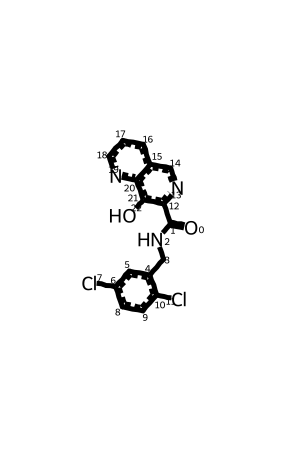 O=C(NCc1cc(Cl)ccc1Cl)c1ncc2cccnc2c1O